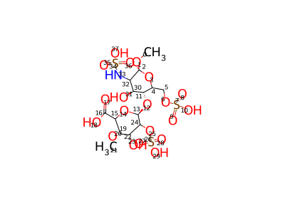 CO[C@H]1OC(COS(=O)(=O)O)[C@H](O[C@@H]2OC(C(=O)O)[C@@H](OC)[C@@H](O)C2OS(=O)(=O)O)[C@@H](O)C1NS(=O)(=O)O